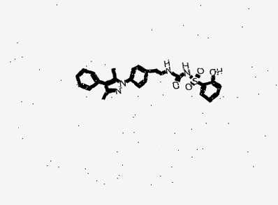 Cc1nn(-c2ccc(CCNC(=O)NS(=O)(=O)c3ccccc3O)cc2)c(C)c1-c1ccccc1